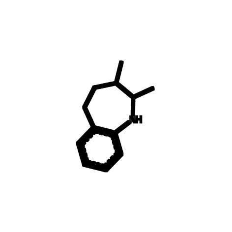 CC1CCc2ccccc2NC1C